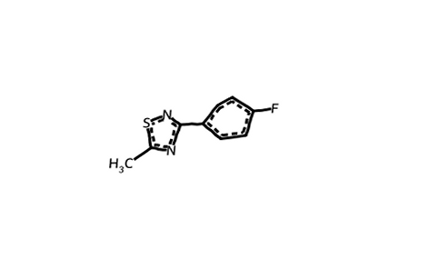 Cc1nc(-c2ccc(F)cc2)ns1